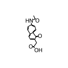 CC(=O)Nc1ccc2ccc(CC(=O)O)c(=O)c-2cc1